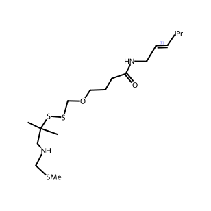 CSCNCC(C)(C)SSCOCCCC(=O)NC/C=C/C(C)C